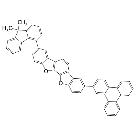 CC1(C)c2ccccc2-c2c(-c3ccc4oc5c(ccc6c7cc(-c8ccc9c%10ccccc%10c%10ccccc%10c9c8)ccc7oc65)c4c3)cccc21